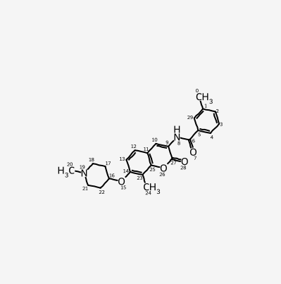 Cc1cccc(C(=O)Nc2cc3ccc(OC4CCN(C)CC4)c(C)c3oc2=O)c1